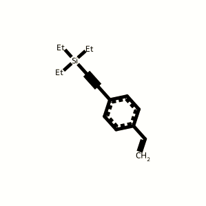 C=Cc1ccc(C#C[Si](CC)(CC)CC)cc1